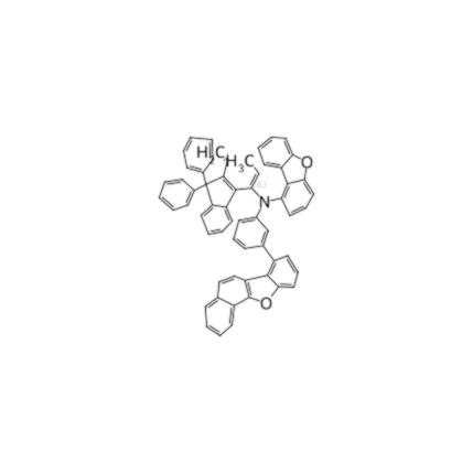 C=CC1=C(/C(=C\C)N(c2cccc(-c3cccc4oc5c6ccccc6ccc5c34)c2)c2cccc3oc4ccccc4c23)c2ccccc2C1(c1ccccc1)c1ccccc1